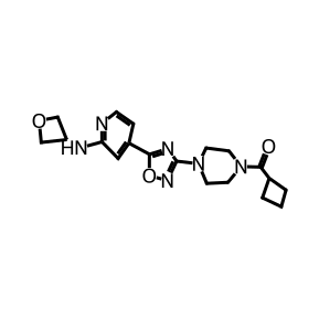 O=C(C1CCC1)N1CCN(c2noc(-c3ccnc(NC4COC4)c3)n2)CC1